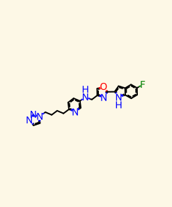 Fc1ccc2[nH]c(-c3nc(CNc4ccc(CCCCn5ccnn5)nc4)co3)cc2c1